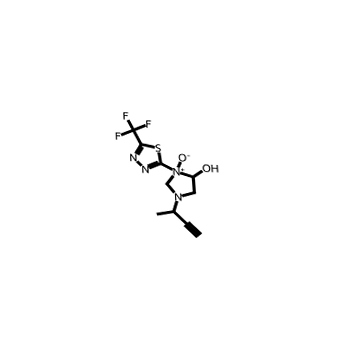 C#CC(C)N1CC(O)[N+]([O-])(c2nnc(C(F)(F)F)s2)C1